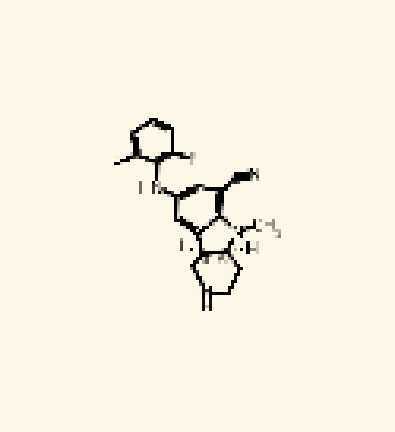 CN1c2c(C#N)cc(Nc3c(F)cccc3F)cc2[C@@H]2CNCC[C@@H]21